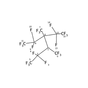 FC(F)(F)[C](C(F)(F)C(F)(F)F)C(C(F)(F)F)(C(F)(F)C(F)(F)F)C(F)(F)C(F)(F)F